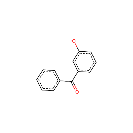 [O]c1cccc(C(=O)c2ccccc2)c1